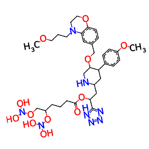 COCCCN1CCOc2ccc(COC3CNC(CC(OC(=O)CCCC(CON(O)O)ON(O)O)c4nnn[nH]4)CC3c3ccc(OC)cc3)cc21